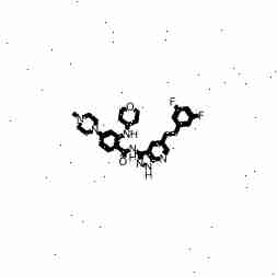 CN1CCN(c2ccc(C(=O)Nc3n[nH]c4ncc(CCc5cc(F)cc(F)c5)cc34)c(NC3CCOCC3)c2)CC1